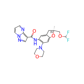 C[C@@]1(COC(F)F)Cc2cc(NC(=O)c3cnn4cccnc34)c(N3CCOCC3)cc2O1